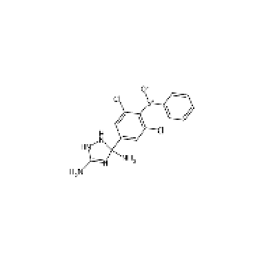 NC1=NC(N)(c2cc(Cl)c([S+]([O-])c3ccccc3)c(Cl)c2)NN1